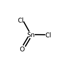 [O]=[Sn]([Cl])[Cl]